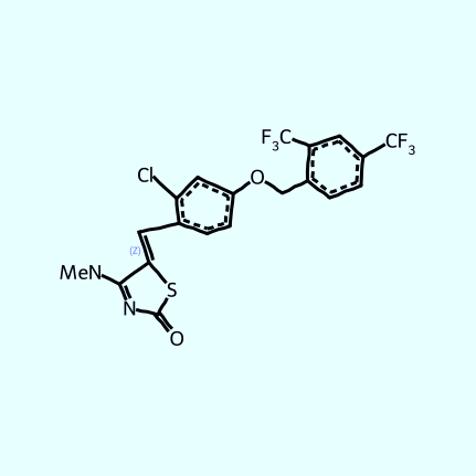 CNC1=NC(=O)S/C1=C\c1ccc(OCc2ccc(C(F)(F)F)cc2C(F)(F)F)cc1Cl